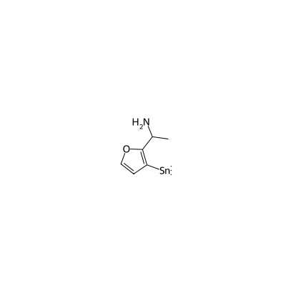 CC(N)c1occ[c]1[Sn]